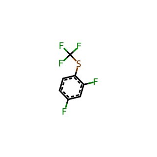 Fc1ccc(SC(F)(F)F)c(F)c1